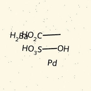 CC(=O)O.O=S(=O)(O)O.[BaH2].[Pd]